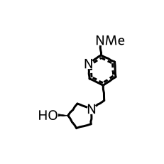 CNc1ccc(CN2CC[C@@H](O)C2)cn1